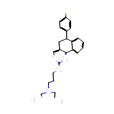 CCN(CC)CCCNc1ncc2c(n1)-c1ccccc1C(c1ccc(Cl)cc1)C2